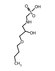 CCCCOCC(O)CNCS(=O)(=O)O